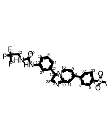 CS(=O)(=O)c1ccc(-c2ccn3c(-c4cccc(NC(=O)NCC(F)(F)F)c4)cnc3c2)cc1